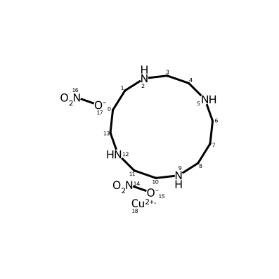 C1CNCCNCCCNCCNC1.O=[N+]([O-])[O-].O=[N+]([O-])[O-].[Cu+2]